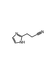 N#CCCc1ncc[nH]1